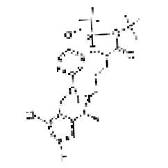 COc1ccc(OCc2c(Cl)cc(F)cc2[C@H](C)NCCC[C@@H](O[Si](C)(C)C(C)(C)C)C(=O)OC(C)(C)C)cc1